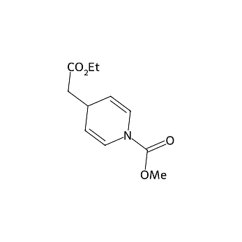 CCOC(=O)CC1C=CN(C(=O)OC)C=C1